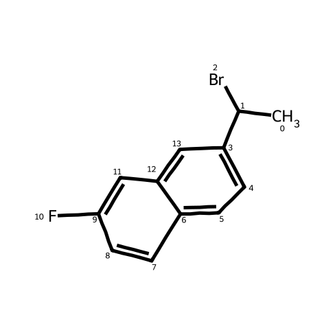 CC(Br)c1ccc2ccc(F)cc2c1